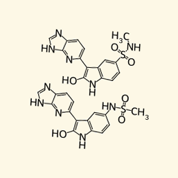 CNS(=O)(=O)c1ccc2[nH]c(O)c(-c3ccc4nc[nH]c4n3)c2c1.CS(=O)(=O)Nc1ccc2[nH]c(O)c(-c3ccc4nc[nH]c4n3)c2c1